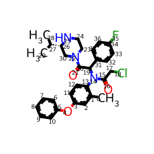 Cc1cc(Oc2ccccc2)ccc1N(C(=O)CCl)C(C(=O)N1CCN[C@@H](C(C)C)C1)c1ccc(F)cc1